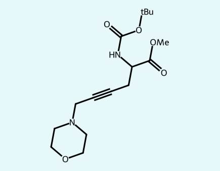 COC(=O)C(CC#CCN1CCOCC1)NC(=O)OC(C)(C)C